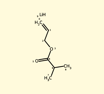 C=CCOC(=O)C(C)C.[LiH]